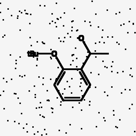 CC([O])c1ccccc1OC(C)(C)C